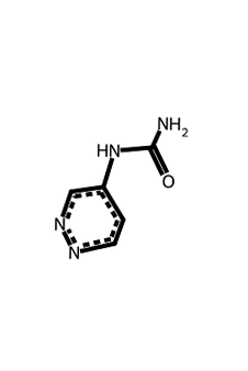 NC(=O)Nc1ccnnc1